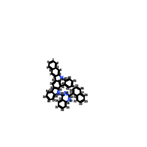 c1ccc2cc3c(cc2c1)c1cc2c4ccccc4n(-c4nc(-c5cccc6ccccc56)nc5ccccc45)c2c2c4ccccc4n3c12